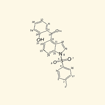 Cc1ccc(S(=O)(=O)n2ccc3c(C(=O)c4ccccc4O)cccc32)cc1